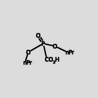 CCCOP(=O)(OCCC)C(=O)O